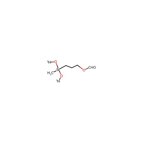 [3H]O[Si](C)(CCCOC=O)O[3H]